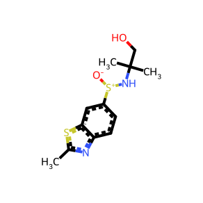 Cc1nc2ccc([S+]([O-])NC(C)(C)CO)cc2s1